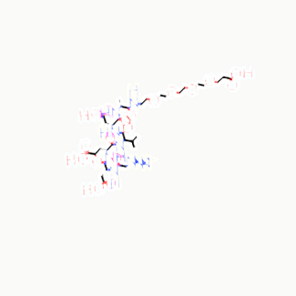 CC(C)[C@H](NC(=O)[C@H](CCC(=O)O)NC(=O)[C@H](CC(=O)O)NC(=O)CN=[N+]=[N-])C(=O)N[C@@H](CC(=O)O)C(=O)N[C@@H](C)C(=O)NCCOCCOCCOCCOCCC(=O)O